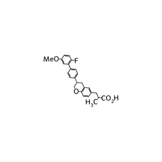 COc1ccc(F)c(-c2ccc(C3COc4ccc(CC(C)C(=O)O)cc4C3)cc2)c1